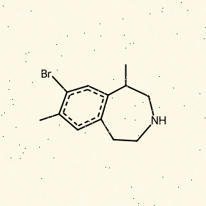 Cc1cc2c(cc1Br)C(C)CNCC2